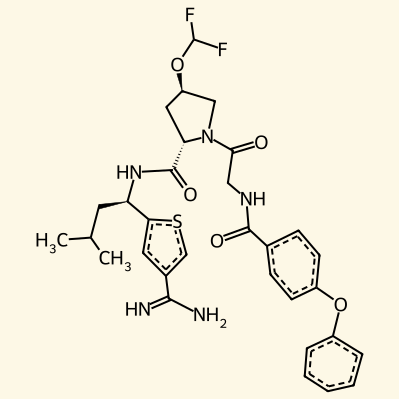 CC(C)C[C@@H](NC(=O)[C@@H]1C[C@@H](OC(F)F)CN1C(=O)CNC(=O)c1ccc(Oc2ccccc2)cc1)c1cc(C(=N)N)cs1